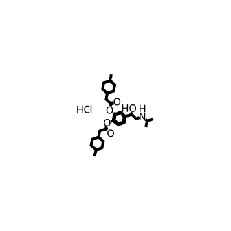 CC1CCC(CC(=O)Oc2ccc(C(O)CNC(C)C)cc2OC(=O)CC2CCC(C)CC2)CC1.Cl